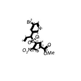 C=CC(c1cncc(Br)c1)S(=O)(=O)c1cc(C(=O)OC)sc1[N+](=O)[O-]